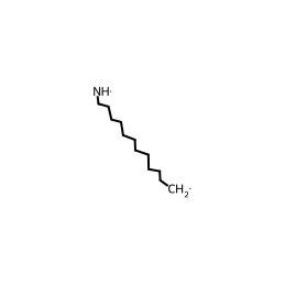 [CH2]CCCCCCCCCCC[NH]